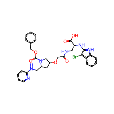 O=C(COC1CC(CNc2ccccn2)N(C(=O)OCc2ccccc2)C1)NC[C@H](Nc1[nH]c2ccccc2c1Br)C(=O)O